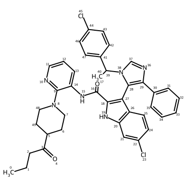 CCCC(=O)C1CCN(c2ncccc2NC(=O)c2[nH]c3cc(Cl)ccc3c2-c2c(-c3ccccc3)ncn2C(C)c2ccc(Cl)cc2)CC1